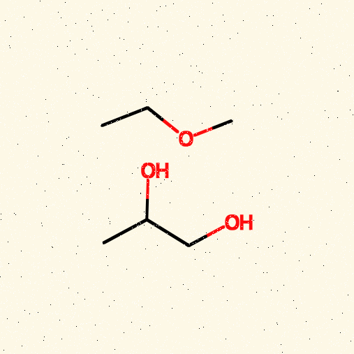 CC(O)CO.CCOC